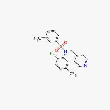 O=S(=O)(c1cccc(C(F)(F)F)c1)N([CH]c1ccncc1)c1cc(C(F)(F)F)ccc1Cl